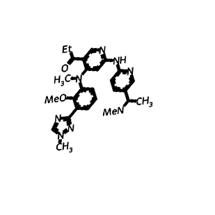 CCC(=O)c1cnc(Nc2ccc(C(C)NC)cn2)cc1N(C)c1cccc(-c2ncn(C)n2)c1OC